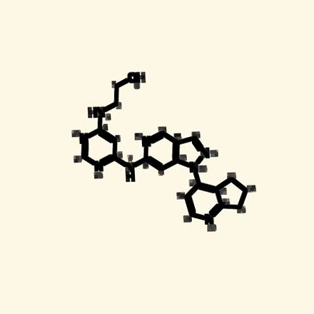 OCCNc1cc(Nc2cc3c(cn2)cnn3-c2ccnc3c2CCC3)ncn1